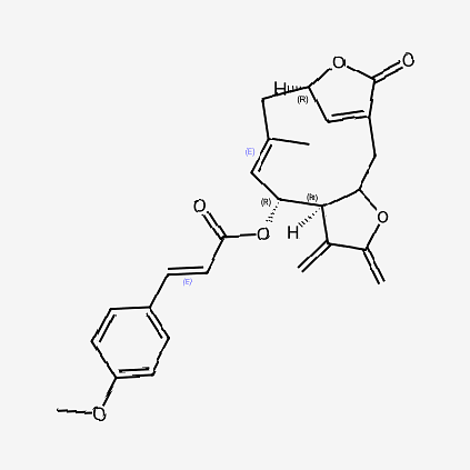 C=C1OC2CC3=C[C@@H](C/C(C)=C/[C@@H](OC(=O)/C=C/c4ccc(OC)cc4)[C@@H]2C1=C)OC3=O